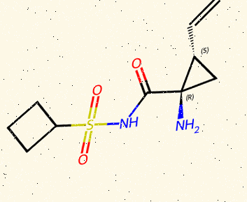 C=C[C@@H]1C[C@]1(N)C(=O)NS(=O)(=O)C1CCC1